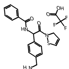 NCc1ccc(C(NC(=O)c2ccccc2)C(=O)N2CC=CS2)cc1.O=C(O)C(F)(F)F